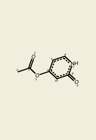 CC(=O)Oc1cc[nH]c(=O)c1